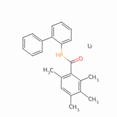 Cc1cc(C)c(C(=O)Pc2ccccc2-c2ccccc2)c(C)c1C.[Li]